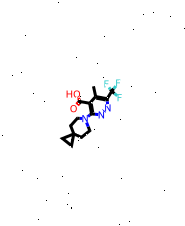 Cc1c(C(F)(F)F)nnc(N2CCC3(CC2)CC3)c1C(=O)O